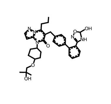 CCCc1c(Cc2ccc(-c3ccccc3C3=NOC(O)N3)cc2)c(=O)n(C2CCC(OCC(C)(C)O)CC2)c2ccnn12